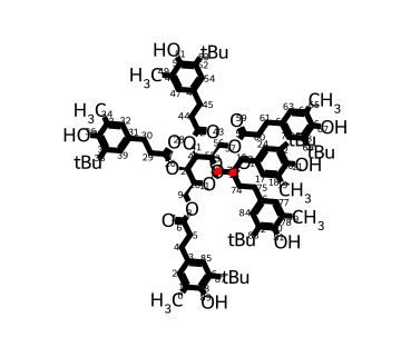 Cc1cc(CCC(=O)OC[C@H](OC(=O)CCc2cc(C)c(O)c(C(C)(C)C)c2)[C@@H](OC(=O)CCc2cc(C)c(O)c(C(C)(C)C)c2)[C@H](OC(=O)CCc2cc(C)c(O)c(C(C)(C)C)c2)[C@@H](COC(=O)CCc2cc(C)c(O)c(C(C)(C)C)c2)OC(=O)CCc2cc(C)c(O)c(C(C)(C)C)c2)cc(C(C)(C)C)c1O